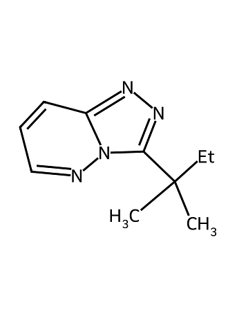 CCC(C)(C)c1nnc2cccnn12